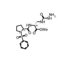 COC(=O)[C@@H](CNC(=O)NN)NC(=O)[C@@H]1CCCN1S(=O)(=O)c1ccccc1